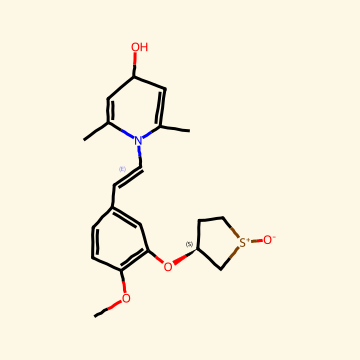 COc1ccc(/C=C/N2C(C)=CC(O)C=C2C)cc1O[C@H]1CC[S+]([O-])C1